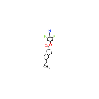 CCCC1CCC2CC(C(=O)Oc3cc(F)c(C#N)c(F)c3)CCC2C1